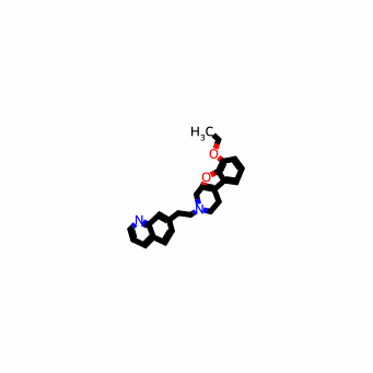 CCOc1cccc2c3c(oc12)CN(CCc1ccc2cccnc2c1)CC3